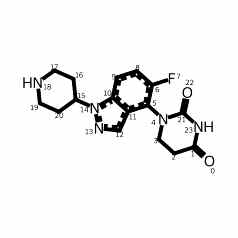 O=C1CCN(c2c(F)ccc3c2cnn3C2CCNCC2)C(=O)N1